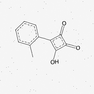 Cc1ccccc1-c1c(O)c(=O)c1=O